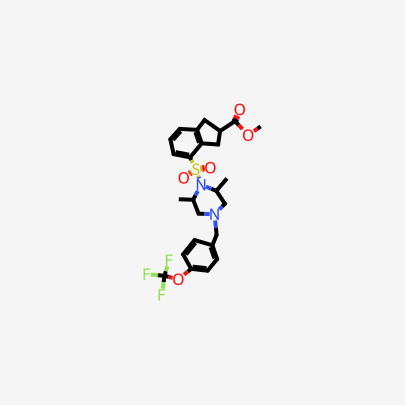 COC(=O)C1Cc2cccc(S(=O)(=O)N3C(C)CN(Cc4ccc(OC(F)(F)F)cc4)CC3C)c2C1